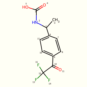 CC(NC(=O)O)c1ccc(C(=O)C(F)(F)F)cc1